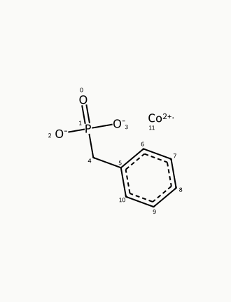 O=P([O-])([O-])Cc1ccccc1.[Co+2]